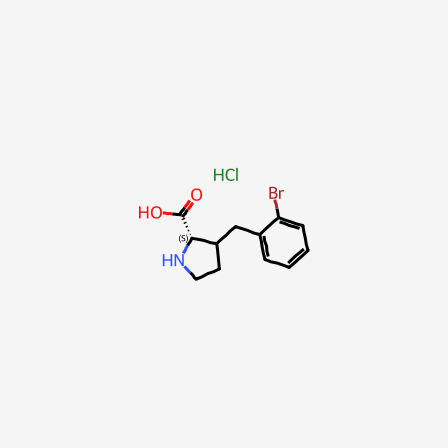 Cl.O=C(O)[C@H]1NCCC1Cc1ccccc1Br